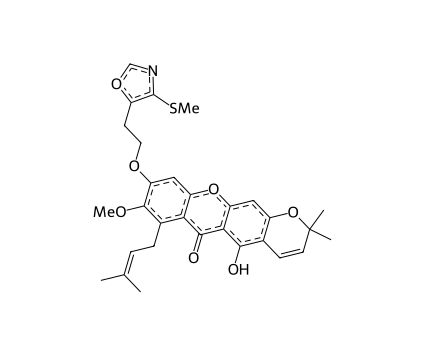 COc1c(OCCc2ocnc2SC)cc2oc3cc4c(c(O)c3c(=O)c2c1CC=C(C)C)C=CC(C)(C)O4